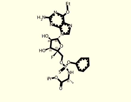 CCOc1nc(N)nc2c1ncn2[C@@H]1O[C@](F)(COP(=S)(N[C@H](C)C(=O)OC(C)C)Oc2ccccc2)[C@@H](O)[C@H]1O